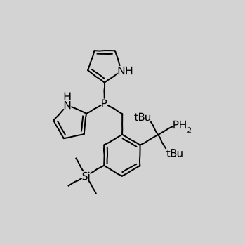 CC(C)(C)C(P)(c1ccc([Si](C)(C)C)cc1CP(c1ccc[nH]1)c1ccc[nH]1)C(C)(C)C